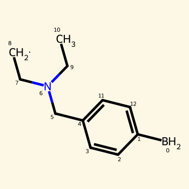 Bc1ccc(CN(C[CH2])CC)cc1